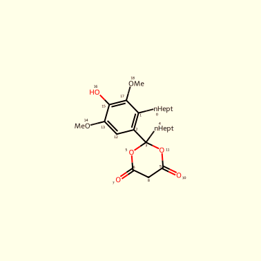 CCCCCCCc1c(C2(CCCCCCC)OC(=O)CC(=O)O2)cc(OC)c(O)c1OC